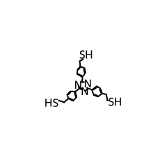 SCCc1ccc(-c2nc(-c3ccc(CCS)cc3)nc(-c3ccc(CCS)cc3)n2)cc1